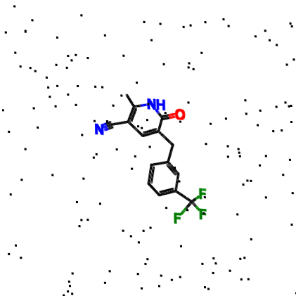 Cc1[nH]c(=O)c(Cc2cccc(C(F)(F)F)c2)cc1C#N